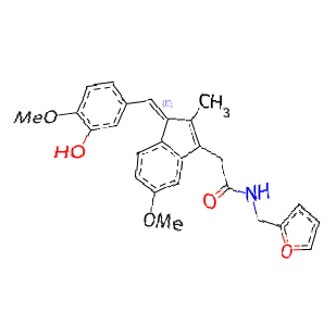 COc1ccc2c(c1)C(CC(=O)NCc1ccco1)=C(C)/C2=C/c1ccc(OC)c(O)c1